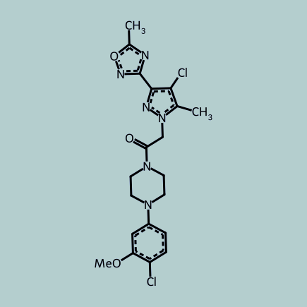 COc1cc(N2CCN(C(=O)Cn3nc(-c4noc(C)n4)c(Cl)c3C)CC2)ccc1Cl